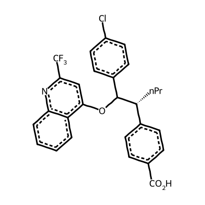 CCC[C@H](c1ccc(C(=O)O)cc1)C(Oc1cc(C(F)(F)F)nc2ccccc12)c1ccc(Cl)cc1